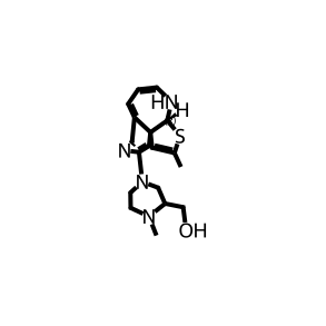 CC1=CC23C=C(N4CCN(C)C(CO)C4)N=CC2=CC=CN[C@@H]3S1